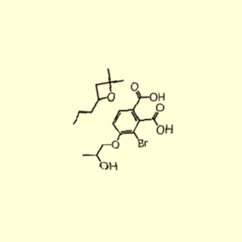 CC(O)COc1ccc(C(=O)O)c(C(=O)O)c1Br.CCCC1CC(C)(C)O1